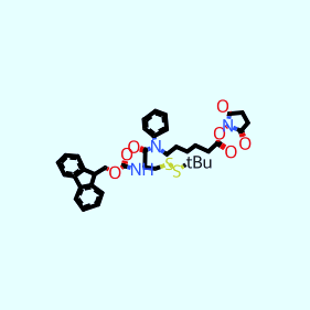 CC(C)(C)SSCC(NC(=O)OCC1c2ccccc2-c2ccccc21)C(=O)N(CCCCCC(=O)ON1C(=O)CCC1=O)c1ccccc1